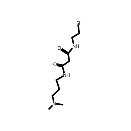 CN(C)CCCNC(=O)CC(=O)NCCS